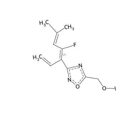 C=C/C(=C(/F)C=C(C)C)c1noc(COI)n1